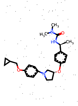 C[C@H](NC(=O)N(C)C)c1ccc(O[C@@H]2CCN(c3ccc(OCC4CC4)cc3)C2)cc1